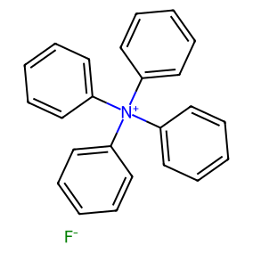 [F-].c1ccc([N+](c2ccccc2)(c2ccccc2)c2ccccc2)cc1